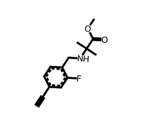 C#Cc1ccc(CNC(C)(C)C(=O)OC)c(F)c1